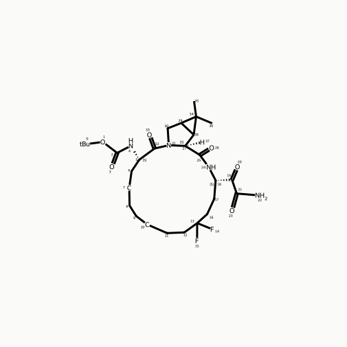 CC(C)(C)OC(=O)N[C@H]1CCCCCCCC(F)(F)CC[C@@H](C(=O)C(N)=O)NC(=O)[C@@H]2C3C(CN2C1=O)C3(C)C